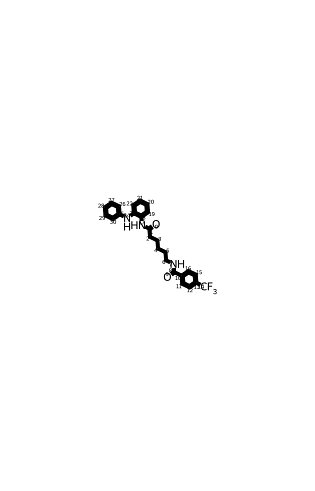 O=C(CCCCCNC(=O)c1ccc(C(F)(F)F)cc1)Nc1ccccc1Nc1ccccc1